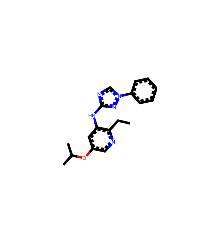 CCc1ncc(OC(C)C)cc1Nc1ncn(-c2ccccc2)n1